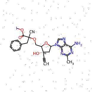 C#C[C@]1(O)CC(n2cnc3c(N)nc(C)nc32)OC1COC(C#N)(Cc1ccccc1)C(=O)OI